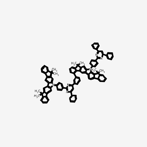 CC1(C)c2ccccc2-c2cc3c(cc21)c1cc2c(cc1n3-c1ccc(-c3nc(-c4ccccc4)cc(-c4cccc(-c5cccc6c5-c5cc7c8ccc9c(c8n(-c8ccc(-c%10nc(-c%11ccccc%11)cc(-c%11ccccc%11)n%10)cc8)c7cc5C6(C)C)C(C)(C)c5ccccc5-9)c4)n3)cc1)C(C)(C)c1ccccc1-2